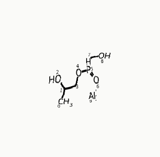 CC(O)CO[PH](=O)CO.[Al]